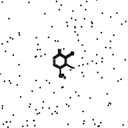 [CH2]c1c(C(F)(F)F)cc[nH]c1=O